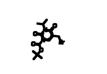 CC(C)n1c(=O)c(CBr)cn(C(=O)OC(C)(C)C)c1=O